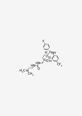 CN(C)CCNC(=O)NC[C@H]1CC[C@@H]2[C@H](O1)c1cc(C(F)(F)F)ccc1N[C@H]2c1ccc(F)cc1